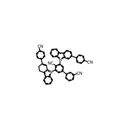 N#Cc1ccc(C2=Cc3c(c4ccccc4n3-c3cc(-c4cccc(C#N)c4)cc(-n4c5ccccc5c5ccc(-c6ccc(C#N)cc6)cc54)c3C#N)CC2)cc1